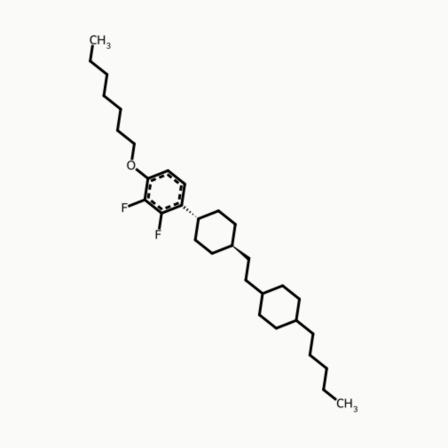 CCCCCCCOc1ccc([C@H]2CC[C@H](CCC3CCC(CCCCC)CC3)CC2)c(F)c1F